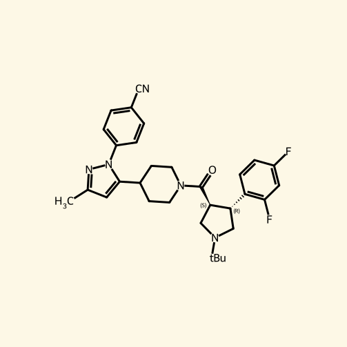 Cc1cc(C2CCN(C(=O)[C@@H]3CN(C(C)(C)C)C[C@H]3c3ccc(F)cc3F)CC2)n(-c2ccc(C#N)cc2)n1